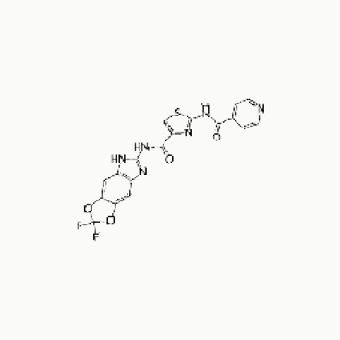 O=C(Nc1nc(C(=O)Nc2nc3cc4c(cc3[nH]2)OC(F)(F)O4)cs1)c1ccncc1